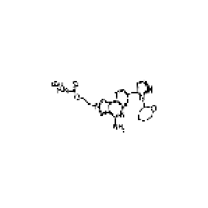 CC(C)(C)NC(=O)OCCn1cc2c(N)nc3cc(-c4ccnn4C4CCCCO4)ccc3c2c1